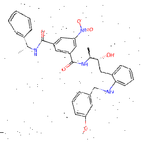 COc1cccc(CNc2ccccc2C[C@@H](O)[C@H](C)NC(=O)c2cc(C(=O)N[C@H](C)c3ccccc3)cc([N+](=O)[O-])c2)c1